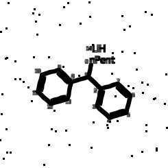 CCCCCC(c1ccccc1)c1ccccc1.[LiH]